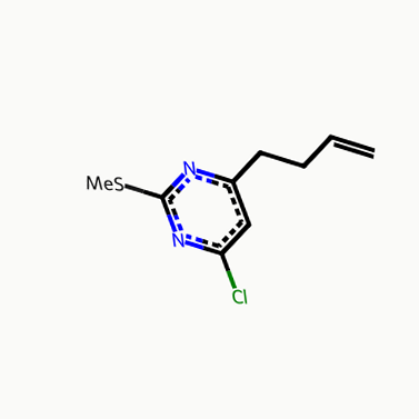 C=CCCc1cc(Cl)nc(SC)n1